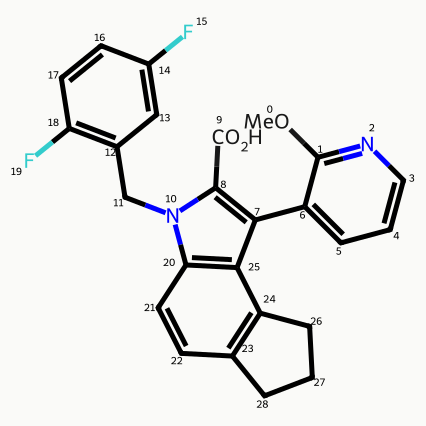 COc1ncccc1-c1c(C(=O)O)n(Cc2cc(F)ccc2F)c2ccc3c(c12)CCC3